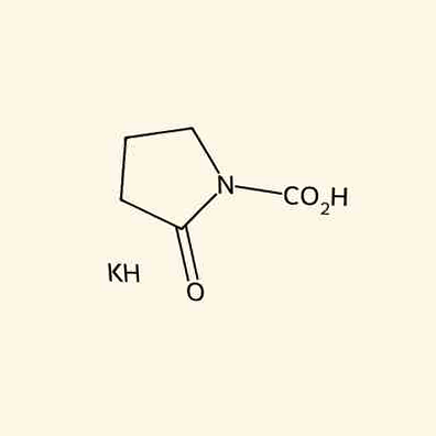 O=C(O)N1CCCC1=O.[KH]